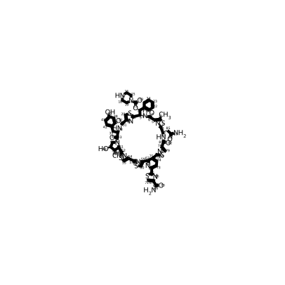 Cc1sc2nc1C(=O)N[C@@H]([C@H](OC(=O)N1CCNCC1)c1ccccc1)c1nc(cs1)C(=O)NC(Cc1ccc(O)cc1)C(=O)N1C[C@H](O)[C@H](C)[C@H]1c1nc(cs1)-c1nc(cs1)-c1nc(-c3nc(C(N)=O)cs3)ccc1-c1nc(cs1)C(=O)N[C@H]2CC(N)=O